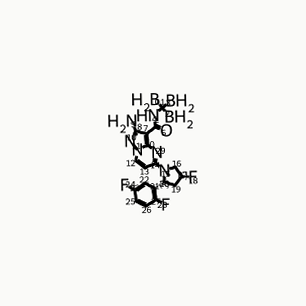 BC(B)(B)NC(=O)c1c(N)nn2ccc(N3C[C@@H](F)C[C@@H]3c3cc(F)ccc3F)nc12